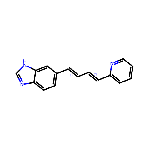 C(/C=C/c1ccccn1)=C\c1ccc2nc[nH]c2c1